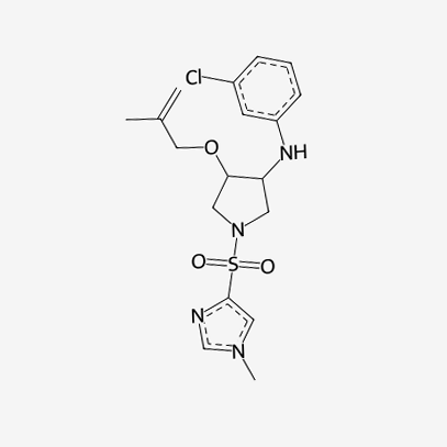 C=C(C)COC1CN(S(=O)(=O)c2cn(C)cn2)CC1Nc1cccc(Cl)c1